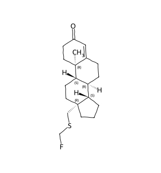 C[C@]12CCC(=O)C=C1CC[C@H]1[C@@H]3CCC[C@@]3(CSCF)CC[C@@H]12